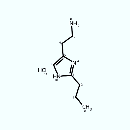 CCCc1nc(CCN)c[nH]1.Cl